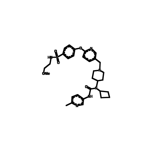 COCCNS(=O)(=O)c1ccc(Oc2ccc(CN3CCC(N(C(=O)Nc4ccc(C)nc4)C4CCC4)CC3)cn2)cc1